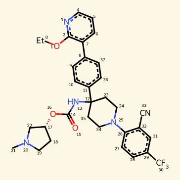 CCOc1ncccc1-c1ccc(C2(NC(=O)O[C@@H]3CCN(C)C3)CCN(c3ccc(C(F)(F)F)cc3C#N)CC2)cc1